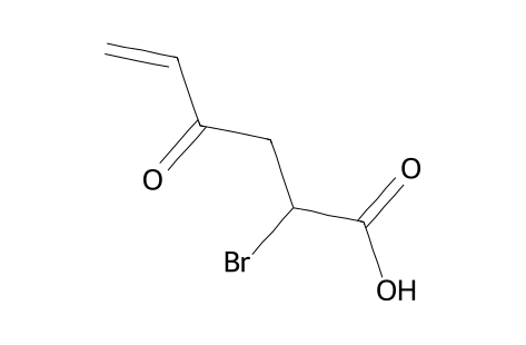 C=CC(=O)CC(Br)C(=O)O